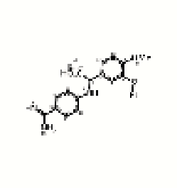 CCSc1cc(C(Nc2ccc(C(=N)N)cc2)C(=O)O)ccc1OC.Cl